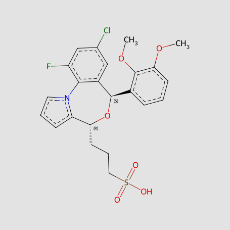 COc1cccc([C@H]2O[C@H](CCCS(=O)(=O)O)c3cccn3-c3c(F)cc(Cl)cc32)c1OC